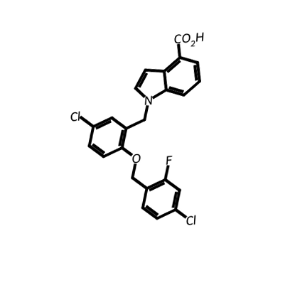 O=C(O)c1cccc2c1ccn2Cc1cc(Cl)ccc1OCc1ccc(Cl)cc1F